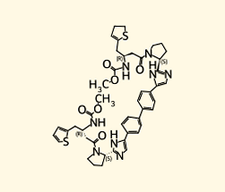 COC(=O)N[C@H](CC(=O)N1CCC[C@H]1c1ncc(-c2ccc(-c3ccc(-c4cnc([C@@H]5CCCN5C(=O)C[C@H](Cc5cccs5)NC(=O)OC)[nH]4)cc3)cc2)[nH]1)CC1=CCCS1